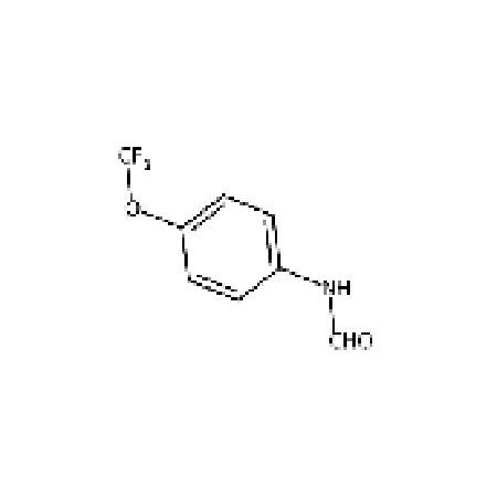 O=[C]Nc1ccc(OC(F)(F)F)cc1